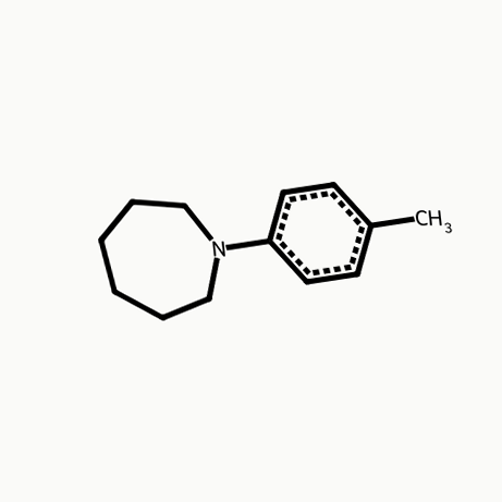 Cc1ccc(N2CCCCCC2)cc1